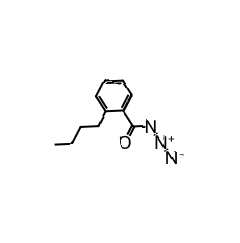 CCCCc1ccccc1C(=O)N=[N+]=[N-]